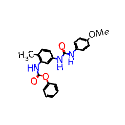 COc1ccc(NC(=O)Nc2ccc(C)c(NC(=O)Oc3ccccc3)c2)cc1